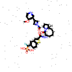 COc1ccncc1C1CN(C(=O)[C@@H]2CC[C@@H]3CCCC[C@H](NC(=O)c4cc5cc(C(F)P(=O)(O)O)ccc5s4)C(=O)N32)C1